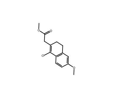 COC(=O)CC1=C(Cl)c2ccc(OC)cc2CC1